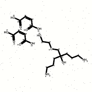 NCCCC(O)(CCCN)COCCO.O=C(O)/C=C\C(=O)O.O=C(O)/C=C\C(=O)O